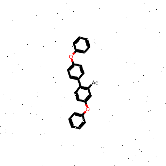 CC(=O)c1cc(Oc2ccccc2)ccc1-c1ccc(Oc2ccccc2)cc1